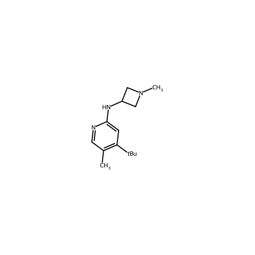 Cc1cnc(NC2CN(C)C2)cc1C(C)(C)C